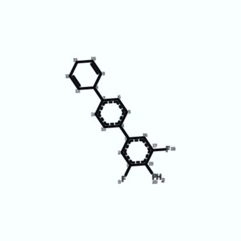 Fc1cc(-c2ccc(C3C=CCC=C3)cc2)cc(F)c1P